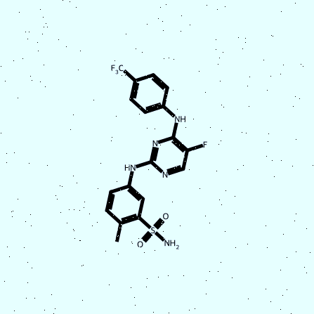 Cc1ccc(Nc2ncc(F)c(Nc3ccc(C(F)(F)F)cc3)n2)cc1S(N)(=O)=O